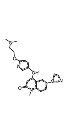 CN(C)CCOc1ccc(Nc2cc(=O)n(C)c3ccc(-n4ccnc4)cc23)cn1